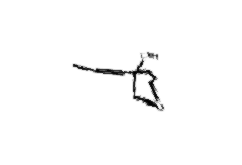 CC#CC1(O)COC1